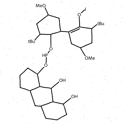 COC1CC(C2CC(OC)CC(C(C)(C)C)C2OPOC2CCCC3CC4CCCC(O)C4C(O)C32)=C(OI)C(C(C)(C)C)C1